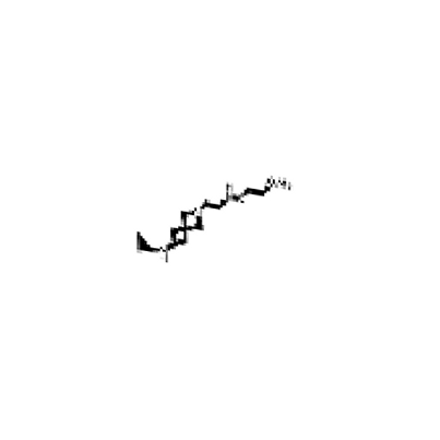 COCCSNCCN1CC2(CC(NC3CC3)C2)C1